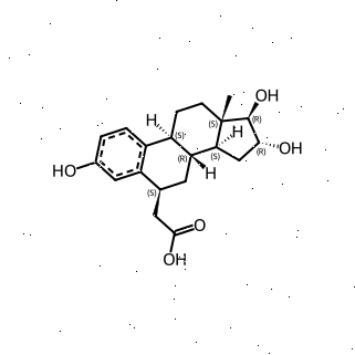 C[C@]12CC[C@@H]3c4ccc(O)cc4[C@H](CC(=O)O)C[C@H]3[C@@H]1C[C@@H](O)[C@@H]2O